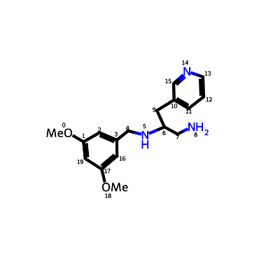 COc1cc(CNC(CN)Cc2cccnc2)cc(OC)c1